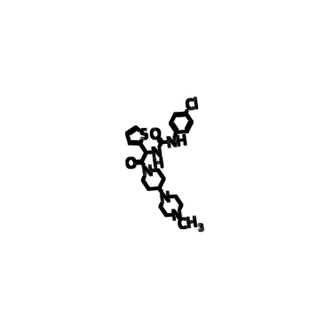 CN1CCN(C2CCN(C(=O)C(NC(=O)Nc3ccc(Cl)cc3)c3cccs3)CC2)CC1